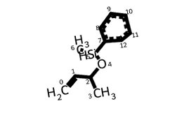 C=CC(C)O[SiH](C)c1ccccc1